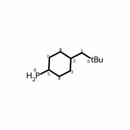 CC(C)(C)CC1CCC(P)CC1